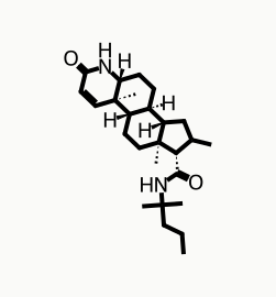 CCCC(C)(C)NC(=O)[C@H]1C(C)C[C@H]2[C@@H]3CC[C@H]4NC(=O)C=C[C@]4(C)[C@H]3CC[C@]12C